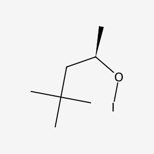 C[C@H](CC(C)(C)C)OI